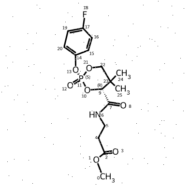 COC(=O)CCNC(=O)[C@@H]1O[P@@](=O)(Oc2ccc(F)cc2)OCC1(C)C